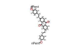 CCCCCOc1ccc(C=Cc2ccc3c(c2)C(=O)c2cc(C=Cc4ccc(OCCCCC)cc4)ccc2C3=O)cc1